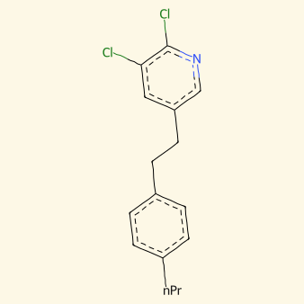 CCCc1ccc(CCc2cnc(Cl)c(Cl)c2)cc1